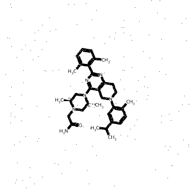 Cc1ccc(C(C)C)cc1N1CCc2nc(-c3c(C)cccc3C)nc(N3C[C@H](C)N(CC(N)=O)C[C@H]3C)c2C1